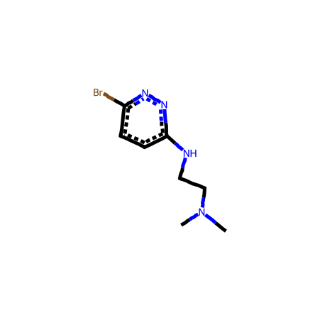 CN(C)CCNc1ccc(Br)nn1